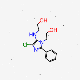 OCCNc1c(Cl)nc(-c2ccccc2)n1CCO